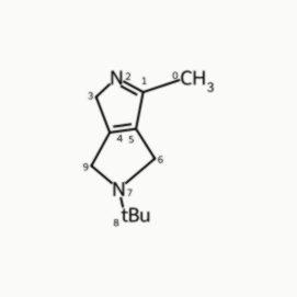 CC1=NCC2=C1CN(C(C)(C)C)C2